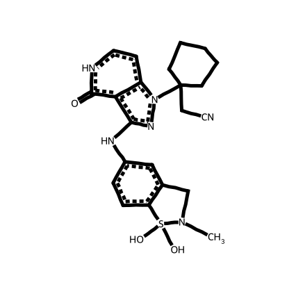 CN1Cc2cc(Nc3nn(C4(CC#N)CCCCC4)c4cc[nH]c(=O)c34)ccc2S1(O)O